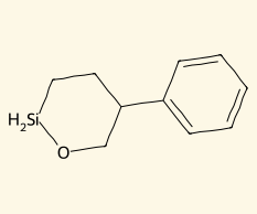 c1ccc(C2CC[SiH2]OC2)cc1